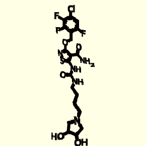 NC(=O)c1c(OCc2c(F)cc(Cl)c(F)c2F)nsc1NC(=O)NCCCCN1CC(O)C(O)C1